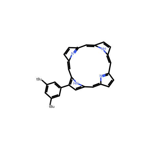 CC(C)(C)c1cc(-c2cc3cc4nc(cc5ccc(cc6nc(cc2[nH]3)C=C6)[nH]5)C=C4)cc(C(C)(C)C)c1